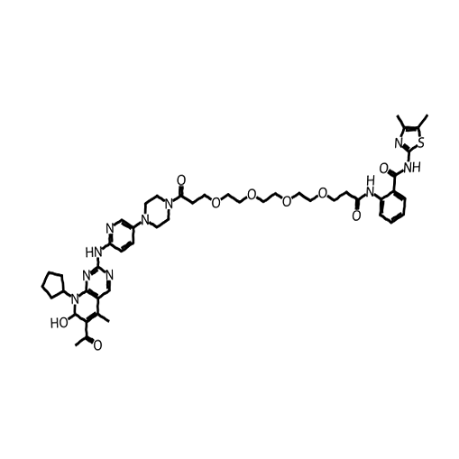 CC(=O)C1=C(C)c2cnc(Nc3ccc(N4CCN(C(=O)CCOCCOCCOCCOCCC(=O)Nc5ccccc5C(=O)Nc5nc(C)c(C)s5)CC4)cn3)nc2N(C2CCCC2)C1O